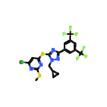 CSc1nc(Cl)cc(Sc2nc(-c3cc(C(F)(F)F)cc(C(F)(F)F)c3)nn2CC2CC2)n1